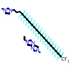 C=Cn1ccnc1.C[n+]1ccn(CCCC(F)(F)C(F)(F)C(F)(F)C(F)(F)C(F)(F)C(F)(F)C(F)(F)C(F)(F)C(F)(F)C(F)(F)C(F)(F)C(F)(F)C(F)(F)C(F)(F)C(F)(F)C(F)(F)C(F)(F)C(F)(F)F)c1.Cn1ccnc1